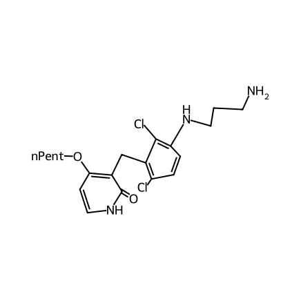 CCCCCOc1cc[nH]c(=O)c1Cc1c(Cl)ccc(NCCCN)c1Cl